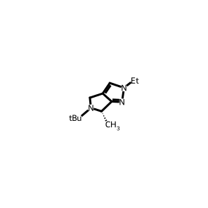 CCn1cc2c(n1)[C@H](C)N(C(C)(C)C)C2